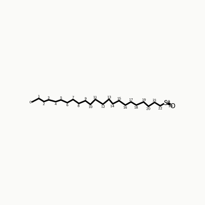 CCCCCCCCCCCCCCCCCCCCCCC[S+]=O